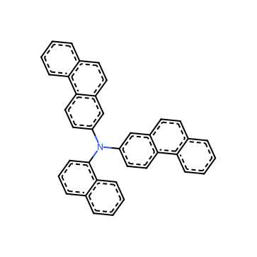 c1ccc2c(N(c3ccc4c(ccc5ccccc54)c3)c3ccc4c(ccc5ccccc54)c3)cccc2c1